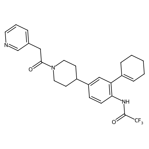 O=C(Cc1cccnc1)N1CCC(c2ccc(NC(=O)C(F)(F)F)c(C3=CCCCC3)c2)CC1